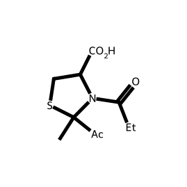 CCC(=O)N1C(C(=O)O)CSC1(C)C(C)=O